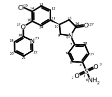 NS(=O)(=O)c1ccc(N2C[C@@H](c3ccc(Cl)c(Oc4ccccn4)c3)CC2=O)cc1